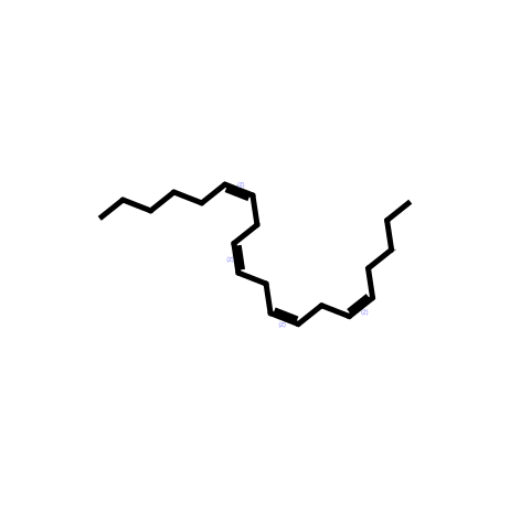 CC[CH]C/C=C\C/C=C\C/C=C\C/C=C\CCCCC